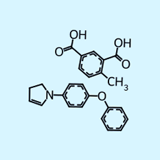 C1=CN(c2ccc(Oc3ccccc3)cc2)CC1.Cc1ccc(C(=O)O)cc1C(=O)O